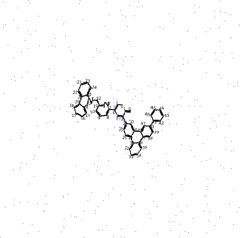 C=C/C(=C\C(=C/C)c1cccc(Cn2c3ccccc3c3ccccc32)n1)c1ccc2c3ccccc3c3ccc(-c4ccccc4)cc3c2c1